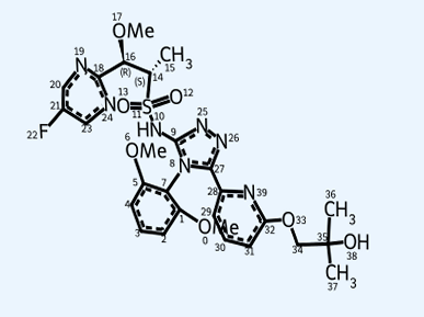 COc1cccc(OC)c1-n1c(NS(=O)(=O)[C@@H](C)[C@H](OC)c2ncc(F)cn2)nnc1-c1cccc(OCC(C)(C)O)n1